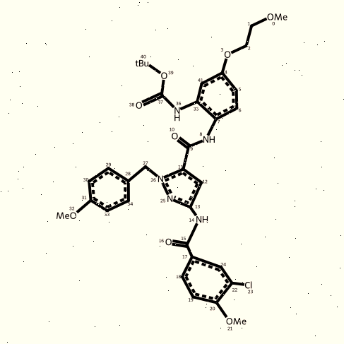 COCCOc1ccc(NC(=O)c2cc(NC(=O)c3ccc(OC)c(Cl)c3)nn2Cc2ccc(OC)cc2)c(NC(=O)OC(C)(C)C)c1